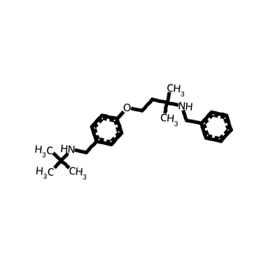 CC(C)(C)NCc1ccc(OCCC(C)(C)NCc2ccccc2)cc1